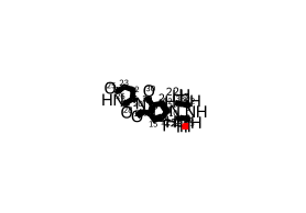 [2H]C1([2H])NC([2H])([2H])C([2H])([2H])N(c2cc3c(cc2F)C(=O)N(C2CCC(=O)NC2=O)C3=O)C1([2H])[2H]